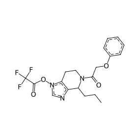 CCCC1c2ncn(OC(=O)C(F)(F)F)c2CCN1C(=O)COc1ccccc1